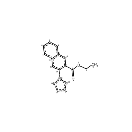 CCOC(=O)c1nc2ccccc2cc1-n1nccn1